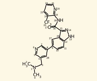 CN(C)Cc1cncc(-c2ccc3[nH]nc(C(=O)Nc4ncccc4C(F)(F)F)c3c2)c1